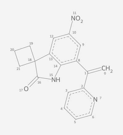 C=C(c1ccccn1)c1cc([N+](=O)[O-])cc2c1NC(=O)C21CCC1